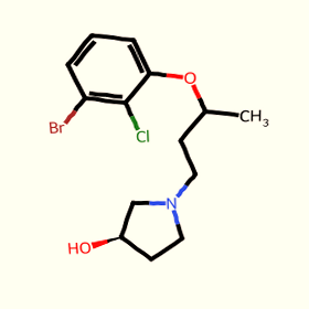 CC(CCN1CC[C@@H](O)C1)Oc1cccc(Br)c1Cl